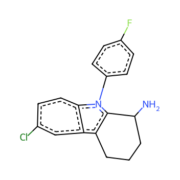 NC1CCCc2c1n(-c1ccc(F)cc1)c1ccc(Cl)cc21